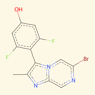 Cc1nc2cnc(Br)cn2c1-c1c(F)cc(O)cc1F